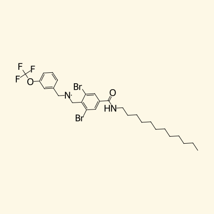 CCCCCCCCCCCCNC(=O)c1cc(Br)c(C[N]Cc2cccc(OC(F)(F)F)c2)c(Br)c1